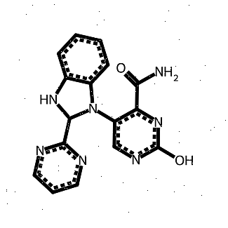 NC(=O)c1nc(O)ncc1N1c2ccccc2NC1c1ncccn1